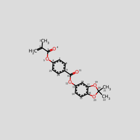 C=C(C)C(=O)Oc1ccc(C(=O)Oc2ccc3c(c2)OC(C)(C)O3)cc1